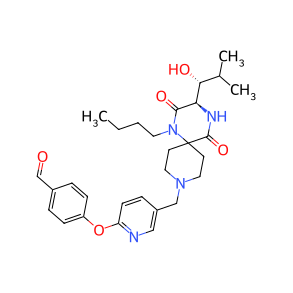 CCCCN1C(=O)[C@@H]([C@H](O)C(C)C)NC(=O)C12CCN(Cc1ccc(Oc3ccc(C=O)cc3)nc1)CC2